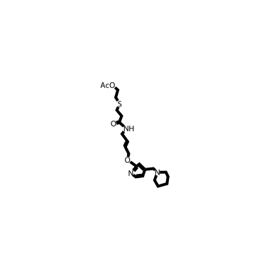 CC(=O)OCCSCCC(=O)NCC=CCOc1cc(CN2CCCCC2)ccn1